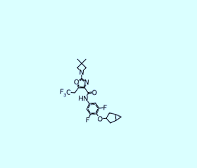 CC1(C)CN(c2nc(C(=O)Nc3cc(F)c(OC4CC5CC5C4)c(F)c3)c(CC(F)(F)F)o2)C1